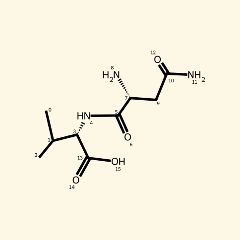 CC(C)[C@H](NC(=O)[C@H](N)CC(N)=O)C(=O)O